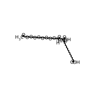 CC(=O)CCOCCOCCOCCOCCOCCOCCOCCOCCNC(=O)CCC(NC(=O)CCCCCCCCCCCCCCCCC(=O)O)C(=O)O